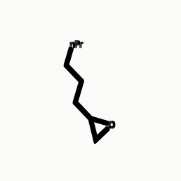 C[CH]CCCCC1CO1